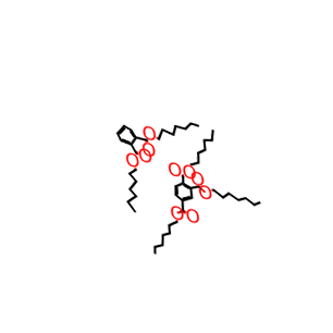 CCCCCCCOC(=O)c1ccc(C(=O)OCCCCCCC)c(C(=O)OCCCCCCC)c1.CCCCCCCOC(=O)c1ccccc1C(=O)OCCCCCCC